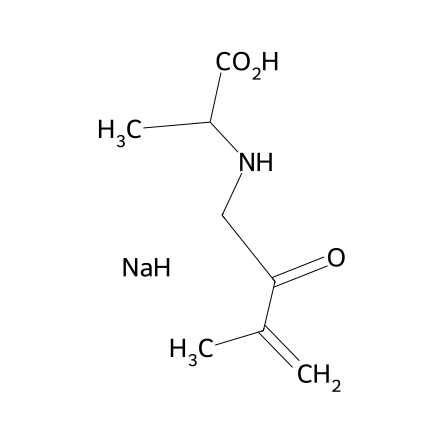 C=C(C)C(=O)CNC(C)C(=O)O.[NaH]